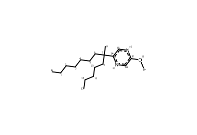 CCCCCCCC(C)(CCCCC)c1cnc(OC)cn1